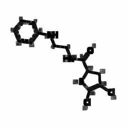 O=C(NCCNc1ccccc1)C1CC(Cl)=C(Cl)S1